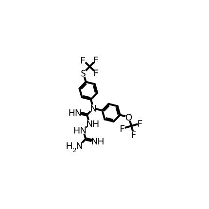 N=C(N)NNC(=N)N(c1ccc(OC(F)(F)F)cc1)c1ccc(SC(F)(F)F)cc1